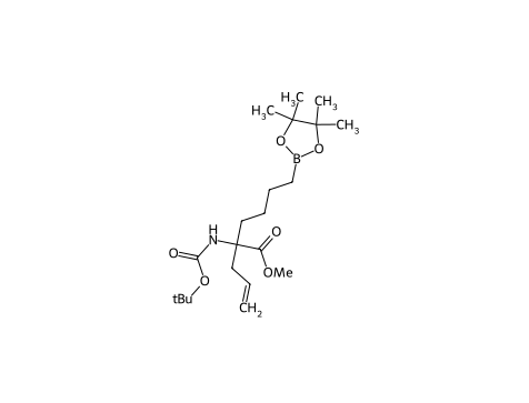 C=CCC(CCCCB1OC(C)(C)C(C)(C)O1)(NC(=O)OC(C)(C)C)C(=O)OC